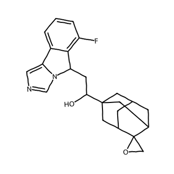 OC(CC1c2c(F)cccc2-c2cncn21)C12CC3CC(C1)C1(CO1)C(C3)C2